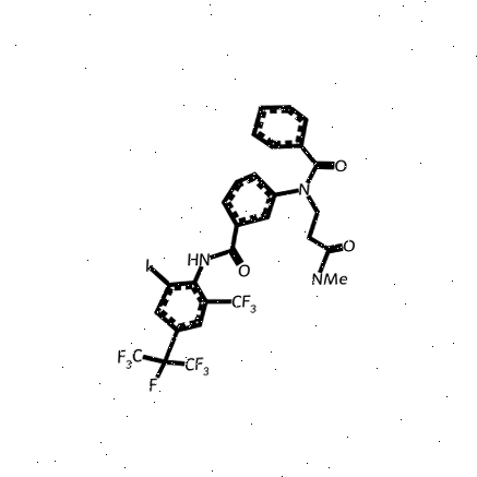 CNC(=O)CCN(C(=O)c1ccccc1)c1cccc(C(=O)Nc2c(I)cc(C(F)(C(F)(F)F)C(F)(F)F)cc2C(F)(F)F)c1